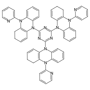 C1=CC2=C(CC1)N(c1ccccn1)c1ccccc1N2c1nc(N2C3=C(CCC=C3)N(c3ccccn3)c3ccccc32)nc(N2C3=C(CCC=C3)N(c3ccccn3)c3ccccc32)n1